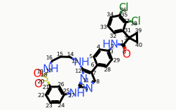 O=C(Nc1ccc(-c2cnc3nc2NCCCNS(=O)(=O)c2cccc(c2)N3)cc1)C1(c2cccc(Cl)c2Cl)CC1